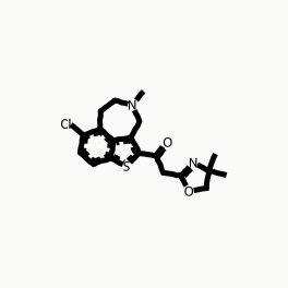 CN1CCc2c(Cl)ccc3sc(C(=O)CC4=NC(C)(C)CO4)c(c23)C1